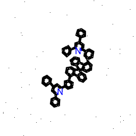 c1ccc(-c2cc(-c3ccccc3)nc(-c3cccc(-c4cccc5c4-c4ccccc4C54c5ccccc5-c5c(-c6cccc(-c7cc(-c8ccccc8)cc(-c8ccccc8)n7)c6)cccc54)c3)c2)cc1